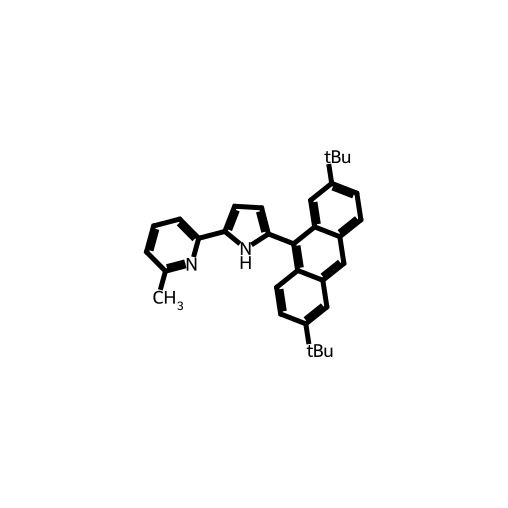 Cc1cccc(-c2ccc(-c3c4ccc(C(C)(C)C)cc4cc4ccc(C(C)(C)C)cc34)[nH]2)n1